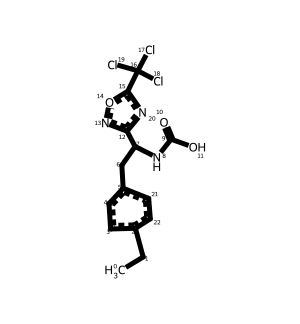 CCc1ccc(CC(NC(=O)O)c2noc(C(Cl)(Cl)Cl)n2)cc1